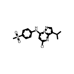 CC(C)c1cnn2c(Nc3ccc(S(C)(=O)=O)cc3)cc(Cl)nc12